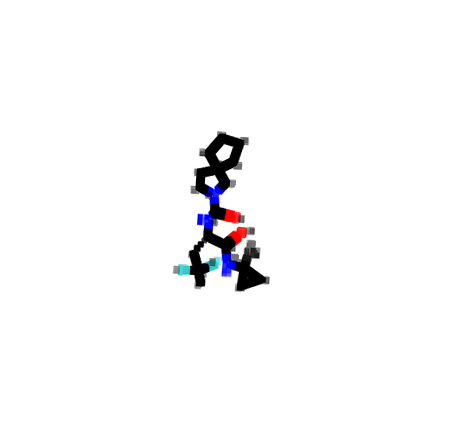 CC(F)(F)C[C@H](NC(=O)N1CCC2(CCCC2)C1)C(=O)NC1(C#N)CC1